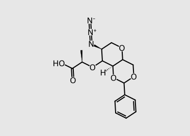 C[C@@H](OC1[C@@H]2OC(c3ccccc3)OCC2OC[C@@H]1N=[N+]=[N-])C(=O)O